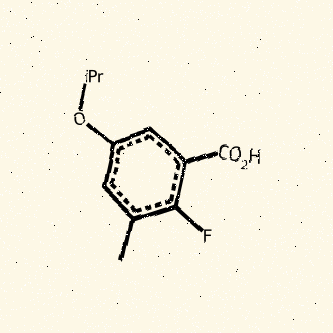 Cc1cc(OC(C)C)cc(C(=O)O)c1F